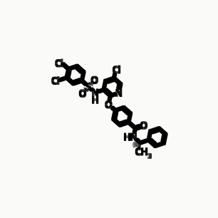 C[C@H](NC(=O)c1ccc(Oc2ncc(Cl)cc2NS(=O)(=O)c2ccc(Cl)c(Cl)c2)cc1)c1ccccc1